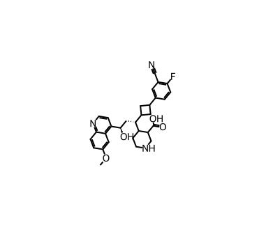 COc1ccc2nccc([C@H](O)C[C@H](C3CC(c4ccc(F)c(C#N)c4)C3)C3CCNCC3C(=O)O)c2c1